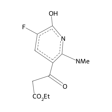 CCOC(=O)CC(=O)c1cc(F)c(O)nc1NC